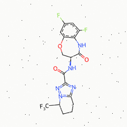 O=C(N[C@H]1COc2cc(F)cc(F)c2NC1=O)c1nc2n(n1)C(C(F)(F)F)CCC2